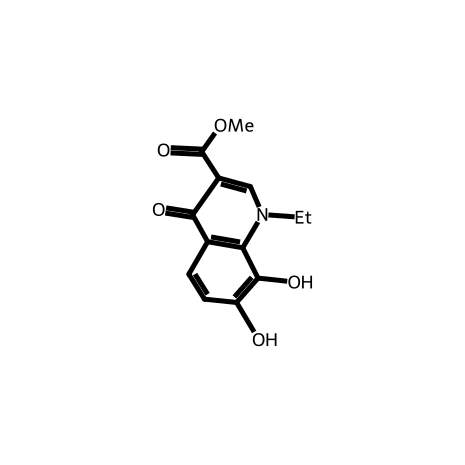 CCn1cc(C(=O)OC)c(=O)c2ccc(O)c(O)c21